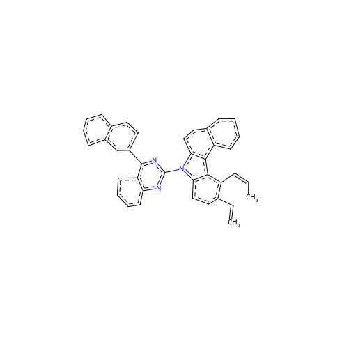 C=Cc1ccc2c(c1/C=C\C)c1c3ccccc3ccc1n2-c1nc(-c2ccc3ccccc3c2)c2ccccc2n1